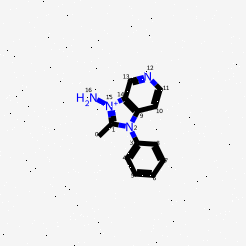 Cc1n(-c2ccccc2)c2ccncc2[n+]1N